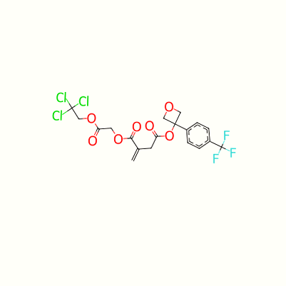 C=C(CC(=O)OC1(c2ccc(C(F)(F)F)cc2)COC1)C(=O)OCC(=O)OCC(Cl)(Cl)Cl